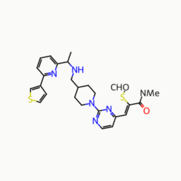 CNC(=O)/C(=C/c1ccnc(N2CCC(CNC(C)c3cccc(-c4ccsc4)n3)CC2)n1)SC=O